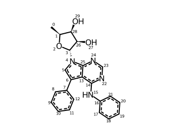 C[C@@H]1O[C@@H](n2cc(-c3ccccc3)c3c(Nc4ccccc4)ncnc32)[C@H](O)[C@@H]1O